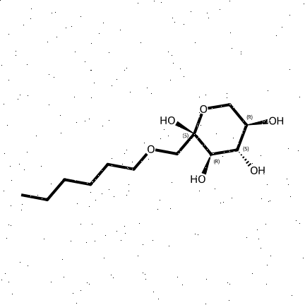 CCCCCCOC[C@]1(O)OC[C@@H](O)[C@H](O)[C@H]1O